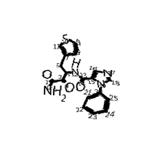 NC(=O)C(=O)C(Cc1ccsc1)NC(=O)c1cncn1-c1ccccc1